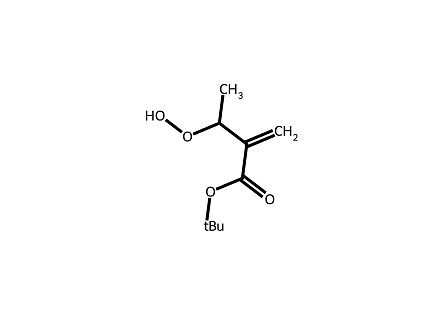 C=C(C(=O)OC(C)(C)C)C(C)OO